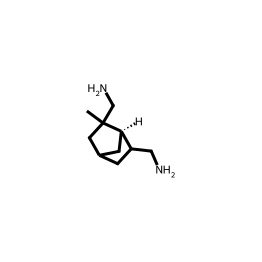 CC1(CN)CC2CC(CN)[C@H]1C2